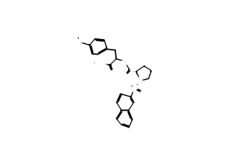 CCOc1ccc(CC(NC(=O)[C@@H]2C[C@H](S)CN2S(=O)(=O)c2ccc3ccccc3c2)C(=O)OC)cc1